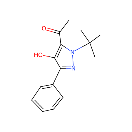 CC(=O)c1c(O)c(-c2ccccc2)nn1C(C)(C)C